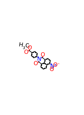 COC(=O)c1ccc(N2C(=O)c3cccc4c([N+](=O)[O-])ccc(c34)C2=O)cc1